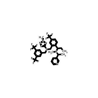 CCC(c1ccc(C(F)(F)F)cc1CN(Cc1cc(C(F)(F)F)cc(C(F)(F)F)c1)c1nnn(C)n1)N(C)C(C)c1cccnc1